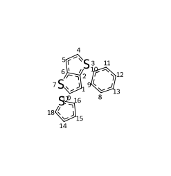 c1cc2sccc2s1.c1ccccc1.c1ccsc1